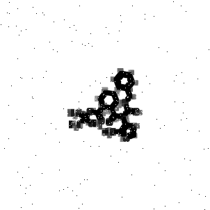 Cc1ocnc1N(C(=O)OCc1ccccc1)C(=O)[C@@H]1CCCCN1C(=O)OC(C)(C)C